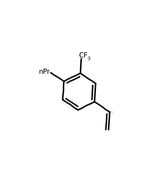 C=[C]c1ccc(CCC)c(C(F)(F)F)c1